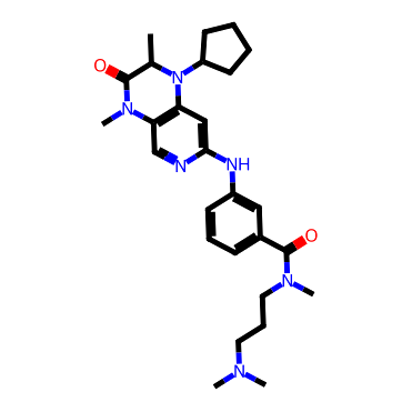 CC1C(=O)N(C)c2cnc(Nc3cccc(C(=O)N(C)CCCN(C)C)c3)cc2N1C1CCCC1